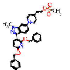 Cn1nc(-c2ccc(OCc3ccccc3)nc2OCc2ccccc2)c2ccc(N3CCC(CCOS(C)(=O)=O)CC3)cc21